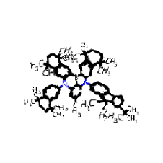 Cc1cc2c3c(c1)N(c1ccc4c(c1)C(C)(C)c1cc(C(C)(C)C)ccc1-4)c1cc4c(cc1B3c1cc3c(cc1N2c1ccc2c(c1)C(C)(C)CCC2(C)C)C(C)(C)CCC3(C)C)C(C)(C)CCC4(C)C